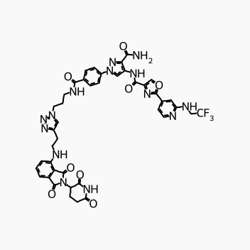 NC(=O)c1nn(-c2ccc(C(=O)NCCCn3cc(CCNc4cccc5c4C(=O)N(C4CCC(=O)NC4=O)C5=O)nn3)cc2)cc1NC(=O)c1coc(-c2ccnc(NCC(F)(F)F)c2)n1